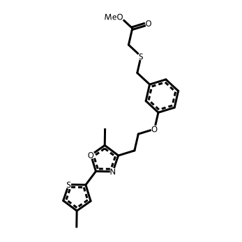 COC(=O)CSCc1cccc(OCCc2nc(-c3cc(C)cs3)oc2C)c1